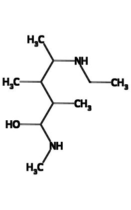 CCNC(C)C(C)C(C)C(O)NC